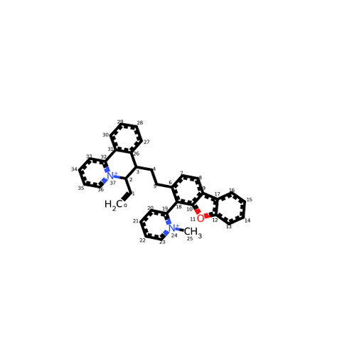 C=CC1C(CCc2ccc3c(oc4ccccc43)c2-c2cccc[n+]2C)c2ccccc2-c2cccc[n+]21